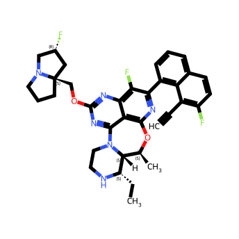 C#Cc1c(F)ccc2cccc(-c3nc4c5c(nc(OC[C@@]67CCCN6C[C@H](F)C7)nc5c3F)N3CCN[C@@H](CC)[C@H]3[C@H](C)O4)c12